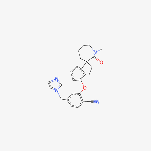 CCC1(c2cccc(Oc3cc(Cn4ccnc4)ccc3C#N)c2)CCCCN(C)C1=O